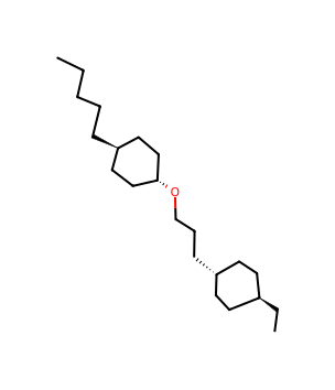 CCCCC[C@H]1CC[C@H](OCCC[C@H]2CC[C@H](CC)CC2)CC1